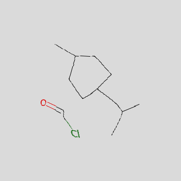 CC1CCC(C(C)C)CC1.O=CCl